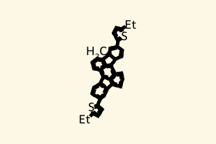 CCc1ccc(C2=CC3(C)c4cccc5c6c7c(cccc7c(c45)C3C=C2)-c2cc(-c3ccc(CC)s3)ccc2-6)s1